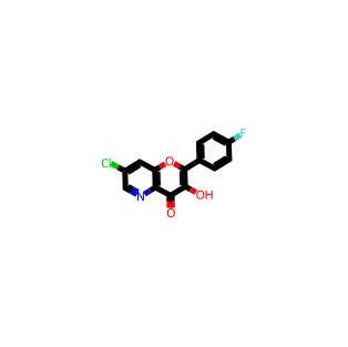 O=c1c(O)c(-c2ccc(F)cc2)oc2cc(Cl)cnc12